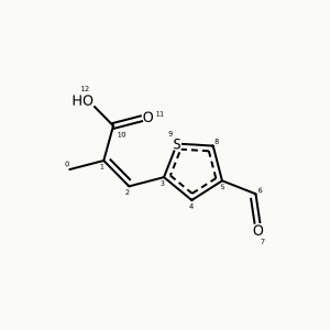 CC(=Cc1cc(C=O)cs1)C(=O)O